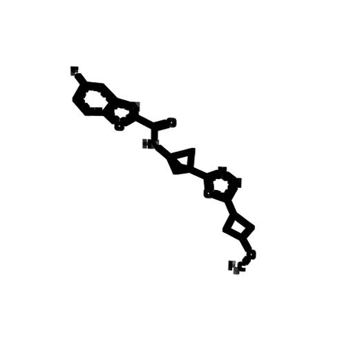 O=C(NC12CC(c3nnc(C4CC(OC(F)(F)F)C4)o3)(C1)C2)c1nc2cc(F)ccc2o1